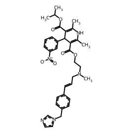 CC1=C(C(=O)OCCN(C)CC=Cc2ccc(Cn3ccnc3)cc2)C(c2cccc([N+](=O)[O-])c2)C(C(=O)OC(C)C)=C(C)N1